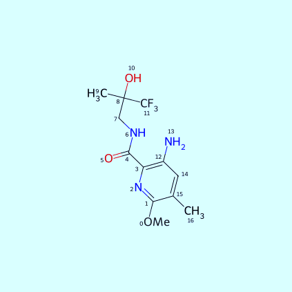 COc1nc(C(=O)NCC(C)(O)C(F)(F)F)c(N)cc1C